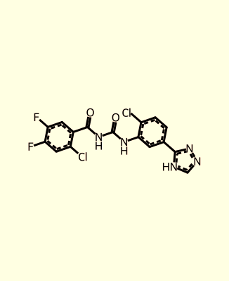 O=C(NC(=O)c1cc(F)c(F)cc1Cl)Nc1cc(-c2nnc[nH]2)ccc1Cl